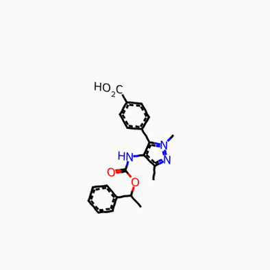 Cc1nn(C)c(-c2ccc(C(=O)O)cc2)c1NC(=O)OC(C)c1ccccc1